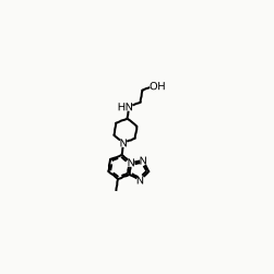 Cc1ccc(N2CCC(NCCO)CC2)n2ncnc12